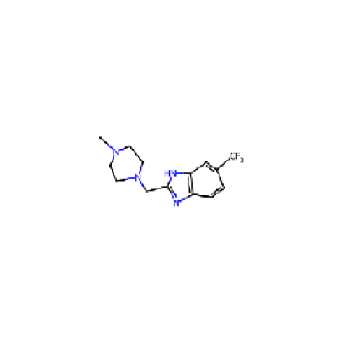 CN1CCN(Cc2nc3ccc(C(F)(F)F)cc3[nH]2)CC1